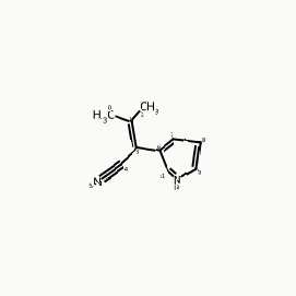 CC(C)=C(C#N)c1cccnc1